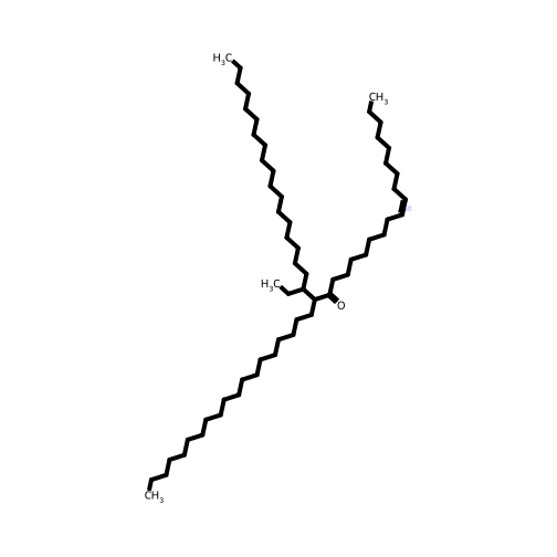 CCCCCCCC/C=C\CCCCCCCC(=O)C(CCCCCCCCCCCCCCCCCCC)C(CC)CCCCCCCCCCCCCCCCCC